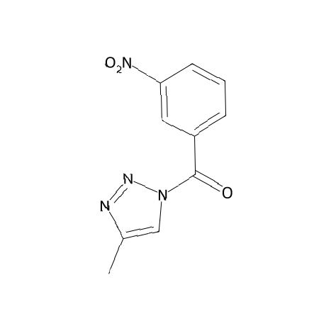 Cc1cn(C(=O)c2cccc([N+](=O)[O-])c2)nn1